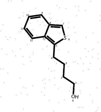 OCCCCc1scc2ccccc12